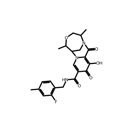 Cc1ccc(CNC(=O)c2cn3c(c(O)c2=O)C(=O)N2CC3C(C)OCC2C)c(F)c1